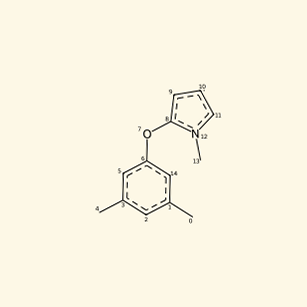 Cc1cc(C)cc(Oc2c[c]cn2C)c1